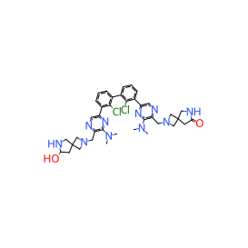 CN(C)c1nc(-c2cccc(-c3cccc(-c4cnc(CN5CC6(CNC(O)C6)C5)c(N(C)C)n4)c3Cl)c2Cl)cnc1CN1CC2(CNC(=O)C2)C1